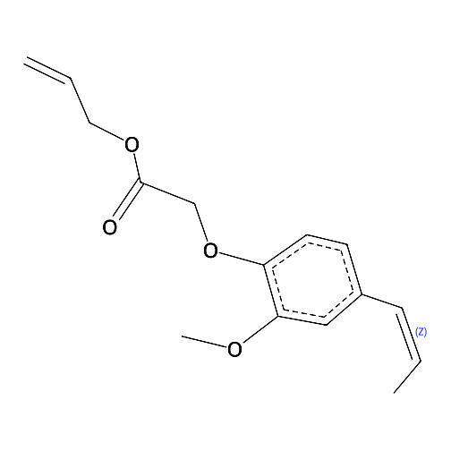 C=CCOC(=O)COc1ccc(/C=C\C)cc1OC